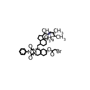 CC(C)[C@@H](C)/C=C/[C@@H](C)C1CCC2C(C[C@H]3C4=C(CC[C@H](OC(=O)CBr)C4)Cn4c(=O)n(-c5ccccc5)c(=O)n43)CCCC21C